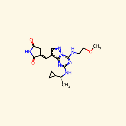 COCCNc1nc(N[C@H](C)C2CC2)nc2c(/C=C3\CC(=O)NC3=O)cnn12